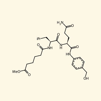 COC(=O)CCCCC(=O)N[C@@H](CC(C)C)C(=O)N[C@@H](CCC(N)=O)C(=O)Nc1ccc(CO)cc1